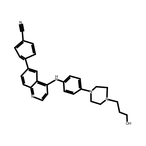 N#Cc1ccc(-c2ccc3nccc(Nc4ccc(N5CCN(CCCO)CC5)cc4)c3c2)cc1